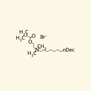 C=C(C)C(=O)OCC[N+](C)(C)CCCCCCCCCCCCCCCCC.[Br-]